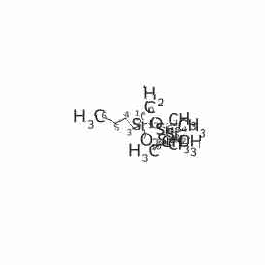 C=C[Si]1(CCCC)O[Si](C)(C)[Si](C)([Si](C)(C)O)O1